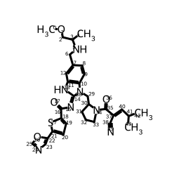 COCC(C)NCc1ccc2c(c1)[nH]c(=NC(=O)c1ccc(-c3cnco3)s1)n2CC1CCCN1C(=O)C(C#N)=CC(C)C